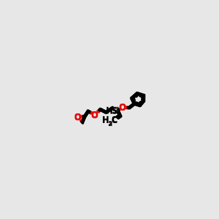 C=C[SiH](CCCOCC1CO1)OCc1ccccc1